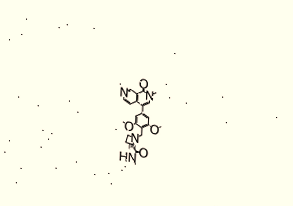 CNC(=O)[C@H]1CCN1Cc1c(OC)cc(-c2cn(C)c(=O)c3cnccc23)cc1OC